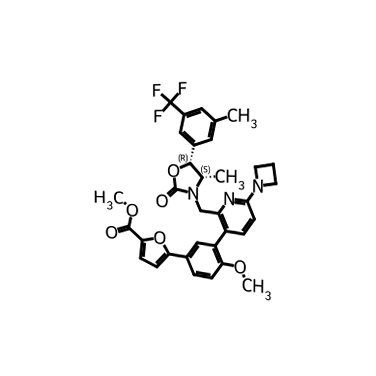 COC(=O)c1ccc(-c2ccc(OC)c(-c3ccc(N4CCC4)nc3CN3C(=O)O[C@H](c4cc(C)cc(C(F)(F)F)c4)[C@@H]3C)c2)o1